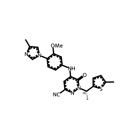 COc1cc(Nc2cc(C#N)nn([C@@H](C)c3ccc(C)s3)c2=O)ccc1-n1cnc(C)c1